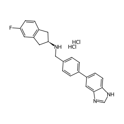 Cl.Cl.Fc1ccc2c(c1)C[C@H](NCc1ccc(-c3ccc4[nH]cnc4c3)cc1)C2